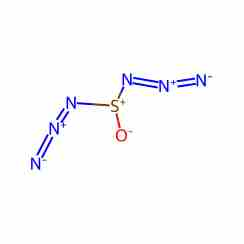 [N-]=[N+]=N[S+]([O-])N=[N+]=[N-]